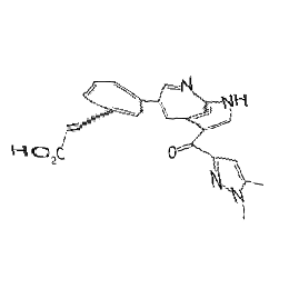 Cc1cc(C(=O)c2c[nH]c3ncc(-c4cccc(C=CC(=O)O)c4)cc23)nn1C